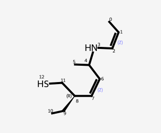 C/C=C\NC(C)/C=C\[C@@H](CC)CS